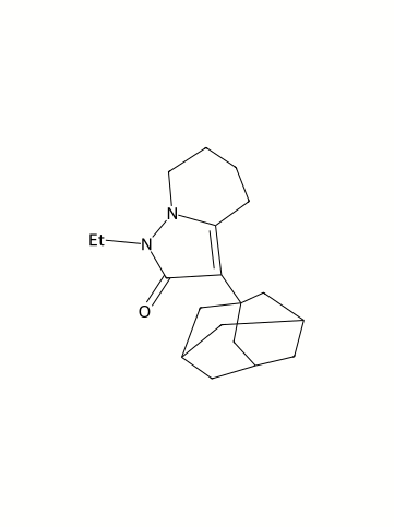 CCn1c(=O)c(C23CC4CC(CC(C4)C2)C3)c2n1CCCC2